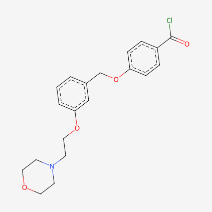 O=C(Cl)c1ccc(OCc2cccc(OCCN3CCOCC3)c2)cc1